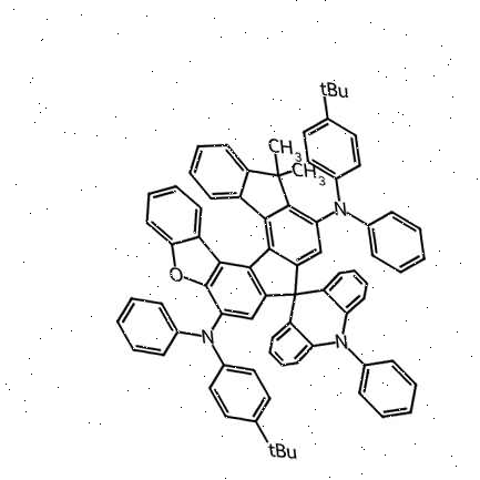 CC(C)(C)c1ccc(N(c2ccccc2)c2cc3c(c4c2C(C)(C)c2ccccc2-4)-c2c(cc(N(c4ccccc4)c4ccc(C(C)(C)C)cc4)c4oc5ccccc5c24)C32c3ccccc3N(c3ccccc3)c3ccccc32)cc1